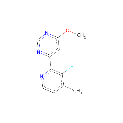 COc1cc(-c2nccc(C)c2F)ncn1